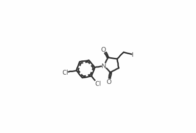 O=C1CC(CI)C(=O)N1c1ccc(Cl)cc1Cl